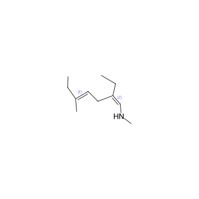 CC/C(=C/NC)C/C=C(\C)CC